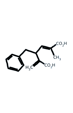 C=C(C(=O)O)C(C=C(C)C(=O)O)Cc1ccccc1